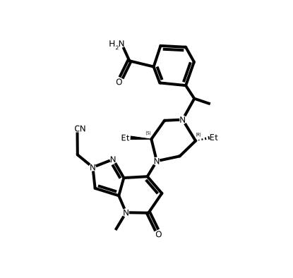 CC[C@H]1CN(C(C)c2cccc(C(N)=O)c2)[C@H](CC)CN1c1cc(=O)n(C)c2cn(CC#N)nc12